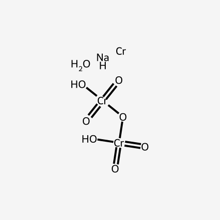 O.[Cr].[NaH].[O]=[Cr](=[O])([OH])[O][Cr](=[O])(=[O])[OH]